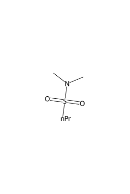 CCCS(=O)(=O)N(C)C